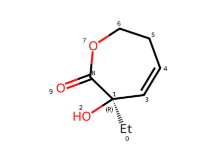 CC[C@@]1(O)C=CCCOC1=O